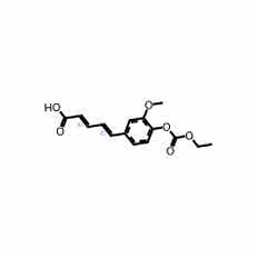 CCOC(=O)Oc1ccc(/C=C/C=C/C(=O)O)cc1OC